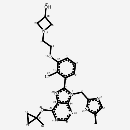 Cc1cnc(Cn2c(-c3cccc(OCCN4CC(O)C4)c3Cl)nc3c(OC4(C)CC4)ncnc32)s1